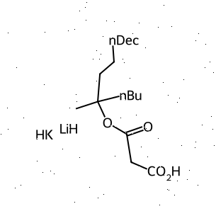 CCCCCCCCCCCCC(C)(CCCC)OC(=O)CC(=O)O.[KH].[LiH]